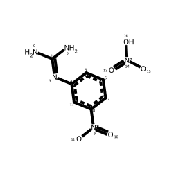 NC(N)=Nc1cccc([N+](=O)[O-])c1.O=[N+]([O-])O